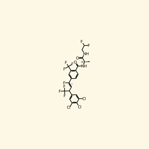 C[C@@H](NC(=O)c1ccc(/C(F)=C/C(c2cc(Cl)c(Cl)c(Cl)c2)C(F)(F)F)cc1C(F)(F)F)C(=O)NCC(F)F